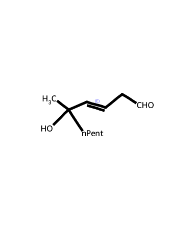 CCCCCC(C)(O)/C=C/CC=O